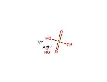 O=S(=O)(O)O.[MgH+].[Mn].[OH-]